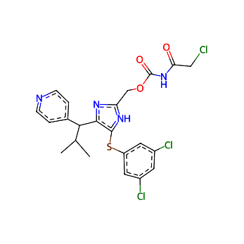 CC(C)C(c1ccncc1)c1nc(COC(=O)NC(=O)CCl)[nH]c1Sc1cc(Cl)cc(Cl)c1